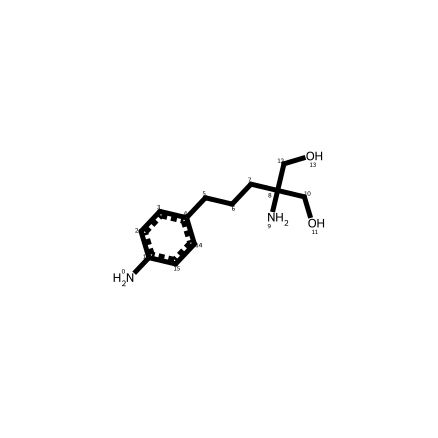 Nc1ccc(CCCC(N)(CO)CO)cc1